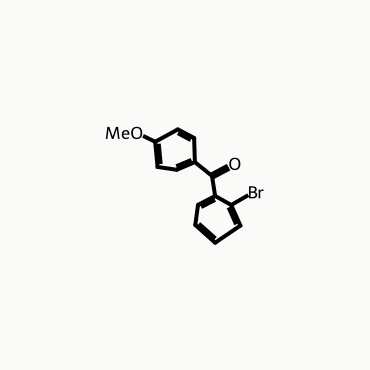 COc1ccc(C(=O)c2ccccc2Br)cc1